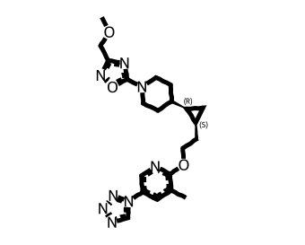 COCc1noc(N2CCC([C@H]3C[C@H]3CCOc3ncc(-n4cnnn4)cc3C)CC2)n1